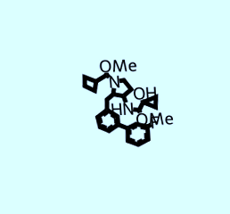 COC(C1CCC1)N1CCC(NC(OC)C2(O)CC2)C1Cc1cccc(-c2cccc(F)c2)c1